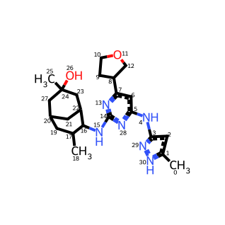 Cc1cc(Nc2cc(C3CCOC3)nc(NC3C(C)CC4CC3CC(C)(O)C4)n2)n[nH]1